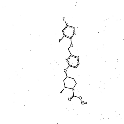 C[C@H]1C[C@@H](Oc2ccnc(COc3ncc(F)cc3F)n2)CCN1C(=O)OC(C)(C)C